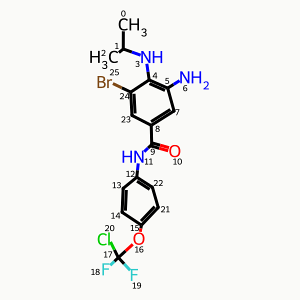 CC(C)Nc1c(N)cc(C(=O)Nc2ccc(OC(F)(F)Cl)cc2)cc1Br